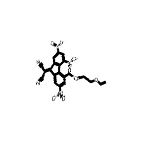 CCOCCOC(=O)c1cc([N+](=O)[O-])cc2c1-c1c(cc([N+](=O)[O-])cc1[N+](=O)[O-])C2=C(C#N)C#N